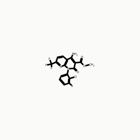 COC(=O)c1c(N)c2ccc(C(F)(F)F)nc2n(-c2cccc(F)c2Cl)c1=O